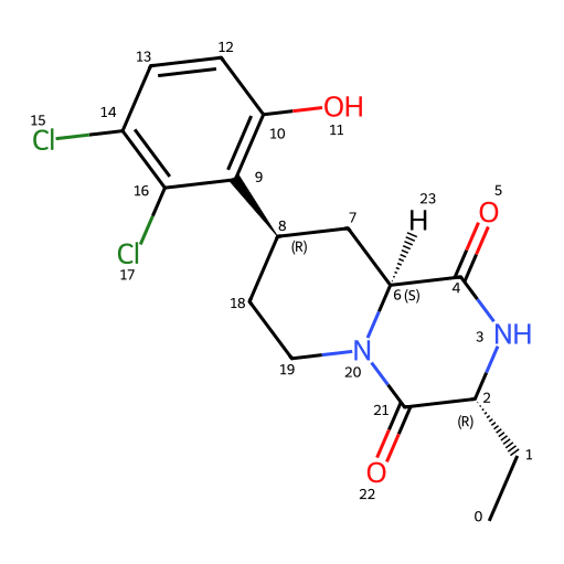 CC[C@H]1NC(=O)[C@@H]2C[C@H](c3c(O)ccc(Cl)c3Cl)CCN2C1=O